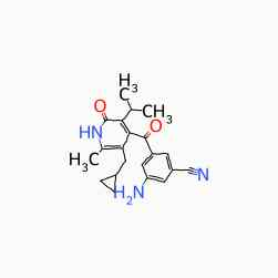 Cc1[nH]c(=O)c(C(C)C)c(C(=O)c2cc(N)cc(C#N)c2)c1CC1CC1